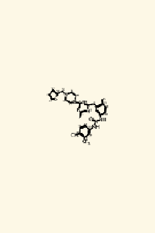 Cc1nc(Cc2cc(NC(=O)Nc3ccc(Cl)c(C(F)(F)F)c3)ccc2C)nc(N2CCN(Cc3cccs3)CC2)n1